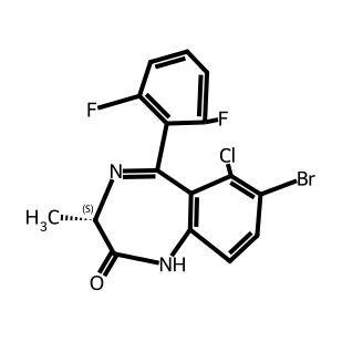 C[C@@H]1N=C(c2c(F)cccc2F)c2c(ccc(Br)c2Cl)NC1=O